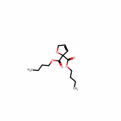 CCCCOC(=O)C1(C(=O)OCCCC)C=CCO1